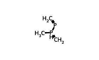 C=P[PH](=C)C